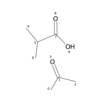 CC(C)=O.CC(C)C(=O)O